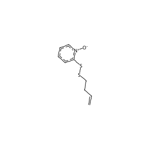 C=CCCSSc1cccc[n+]1[O-]